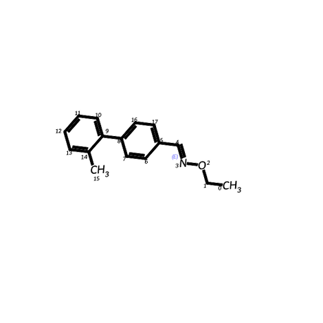 CCO/N=C/c1ccc(-c2ccccc2C)cc1